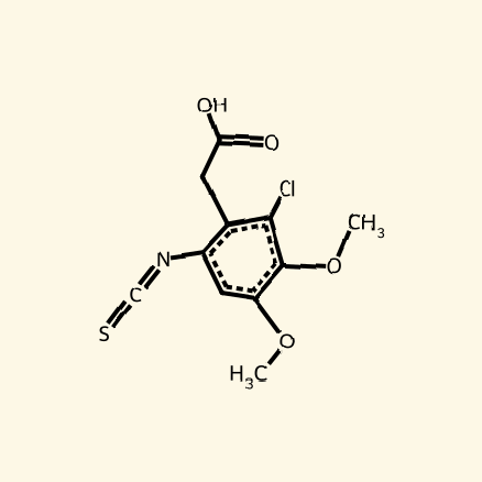 COc1cc(N=C=S)c(CC(=O)O)c(Cl)c1OC